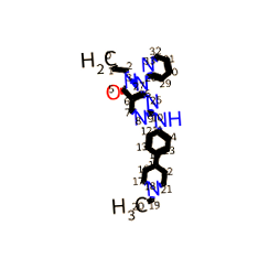 C=CCn1c(=O)c2cnc(Nc3ccc(C4CCN(CC)CC4)cc3)nc2n1-c1ccccn1